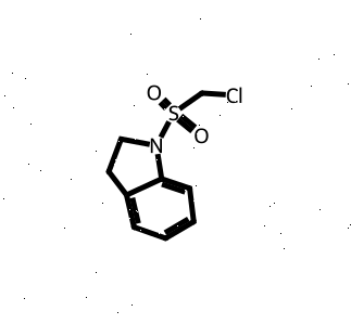 O=S(=O)(CCl)N1CCc2ccccc21